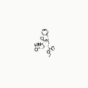 CCOC(=O)CCN(Cc1ccccc1)C(=O)[C@@H]1CCC(=O)N1